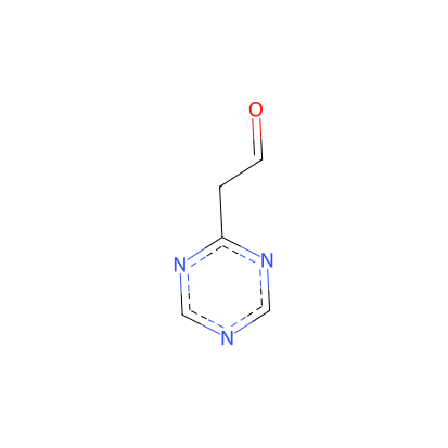 O=CCc1ncncn1